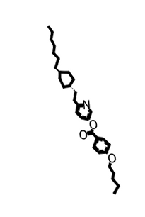 CCCCCCC[C@H]1CC[C@H](CCc2ccc(OC(=O)c3ccc(OCCCCC)cc3)cn2)CC1